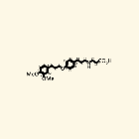 COc1ccc(CCCOc2ccc(CCCNCCC(=O)O)cc2)cc1OC